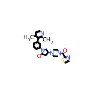 Cc1ccnc(C)c1-c1cccc(N2CC(N3CCN(C(=O)c4nccs4)CC3)CC2=O)c1